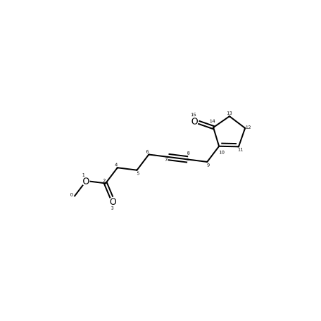 COC(=O)CCCC#CCC1=CCCC1=O